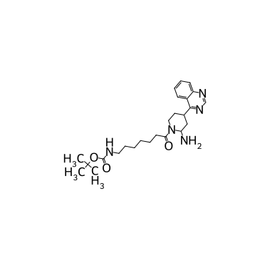 CC(C)(C)OC(=O)NCCCCCCC(=O)N1CCC(c2ncnc3ccccc23)CC1N